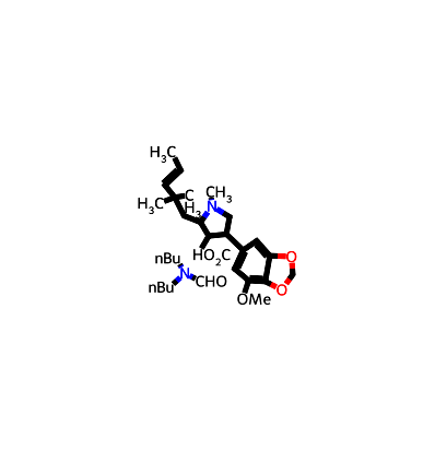 CC=CC(C)(C)CC1C(C(=O)O)C(c2cc(OC)c3c(c2)OCO3)CN1C.CCCCN(C=O)CCCC